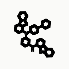 c1ccc(-c2ccc(N(c3cccc(Nc4cccc5c4oc4ccccc45)c3)c3cccc4c3oc3ccccc34)cc2)cc1